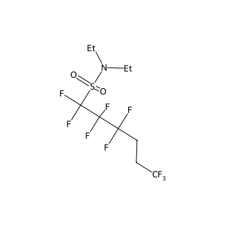 CCN(CC)S(=O)(=O)C(F)(F)C(F)(F)C(F)(F)CCC(F)(F)F